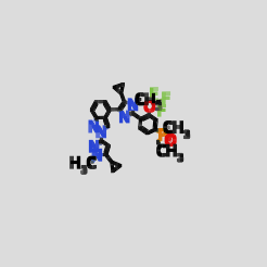 CC[P@](C)(=O)c1ccc(-c2nc(-c3cccc4nn(-c5cc(C6CC6)n(C)n5)cc34)c(C3CC3)n2C)c(OC(F)(F)F)c1